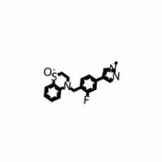 Cn1cc(-c2ccc(CN3CC[S+]([O-])c4ccccc43)c(F)c2)cn1